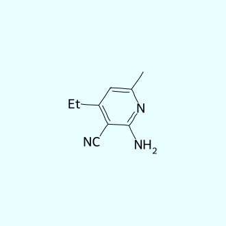 CCc1cc(C)nc(N)c1C#N